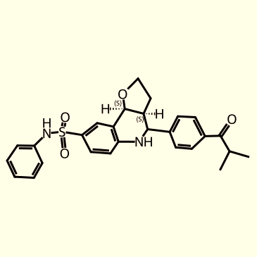 CC(C)C(=O)c1ccc(C2Nc3ccc(S(=O)(=O)Nc4ccccc4)cc3[C@H]3OCC[C@@H]23)cc1